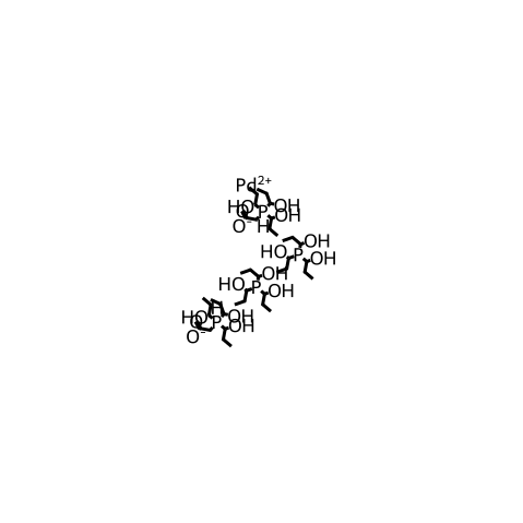 CCC(O)P(C(O)CC)C(O)CC.CCC(O)P(C(O)CC)C(O)CC.CCC(O)[PH](CC(=O)[O-])(C(O)CC)C(O)CC.CCC(O)[PH](CC(=O)[O-])(C(O)CC)C(O)CC.[Pd+2]